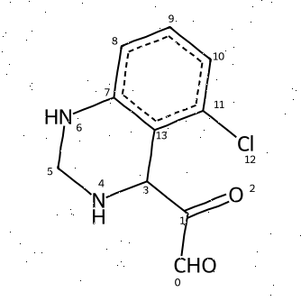 O=CC(=O)C1NCNc2cccc(Cl)c21